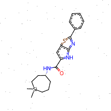 C[Si]1(C)CCC[C@@H](NC(=O)c2cc3sc(-c4ccccc4)nc3[nH]2)CC1